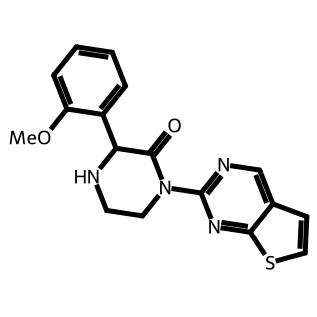 COc1ccccc1C1NCCN(c2ncc3ccsc3n2)C1=O